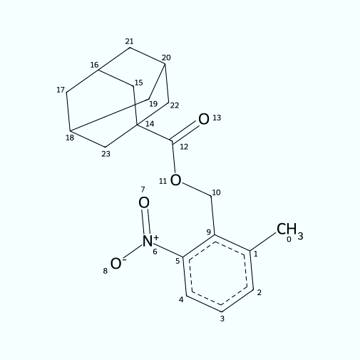 Cc1cccc([N+](=O)[O-])c1COC(=O)C12CC3CC(CC(C3)C1)C2